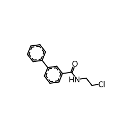 O=C(NCCCl)c1cccc(-c2ccccc2)c1